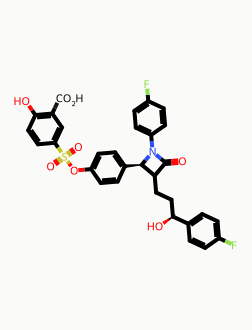 O=C(O)c1cc(S(=O)(=O)Oc2ccc([C@@H]3C(CC[C@H](O)c4ccc(F)cc4)C(=O)N3c3ccc(F)cc3)cc2)ccc1O